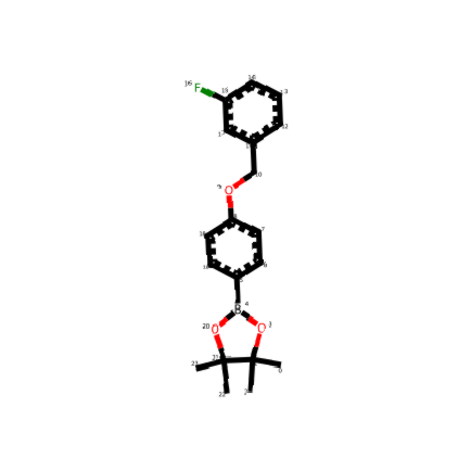 CC1(C)OB(c2ccc(OCc3cccc(F)c3)cc2)OC1(C)C